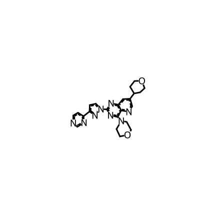 c1cc(-c2ccn(-c3nc(N4CCOCC4)c4ncc(C5CCOCC5)cc4n3)n2)ncn1